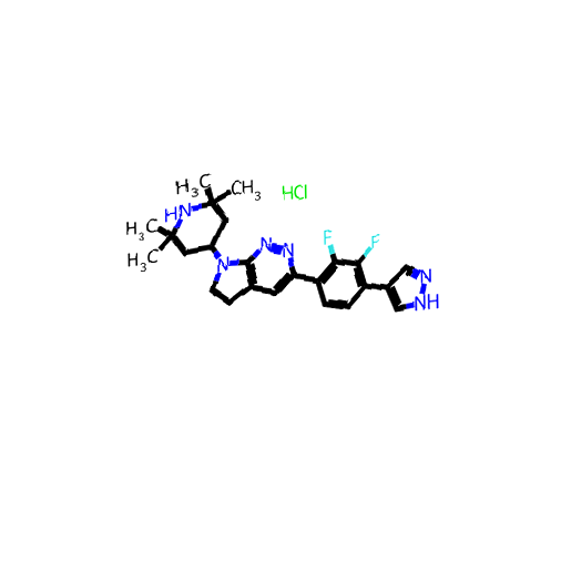 CC1(C)CC(N2CCc3cc(-c4ccc(-c5cn[nH]c5)c(F)c4F)nnc32)CC(C)(C)N1.Cl